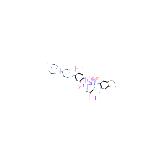 COc1cc(N2CCC(N3CCCN(C)CC3)CC2)c(Br)cc1Nc1ncc(Br)c(Nc2cc3c(cc2NS(C)(=O)=O)CCO3)n1